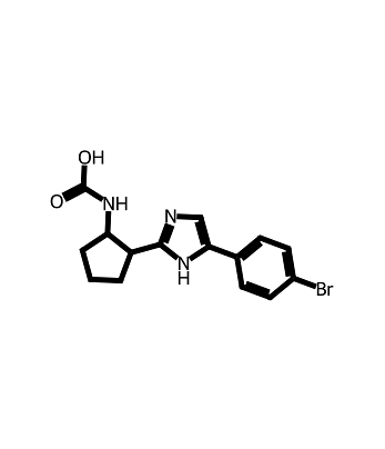 O=C(O)NC1CCCC1c1ncc(-c2ccc(Br)cc2)[nH]1